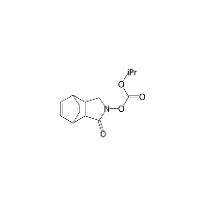 CC(C)OC(=O)ON1CC2C3C=CC(CC3)C2C1=O